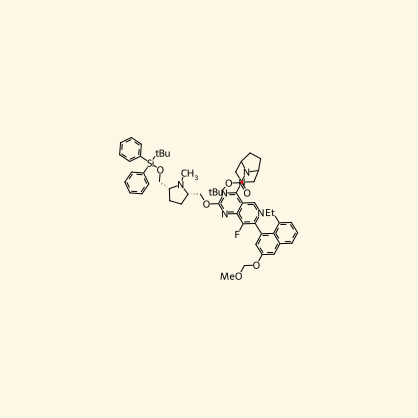 CCc1cccc2cc(OCOC)cc(-c3ncc4c(N5CC6CCC(C5)N6C(=O)OC(C)(C)C)nc(OC[C@@H]5CC[C@H](CO[Si](c6ccccc6)(c6ccccc6)C(C)(C)C)N5C)nc4c3F)c12